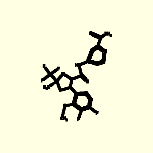 COc1c(C2C[C@](C)(C(F)(F)F)OC2C(=O)Nc2ccnc(C(N)=O)c2)ccc(F)c1F